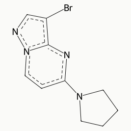 Brc1cnn2ccc(N3CCCC3)nc12